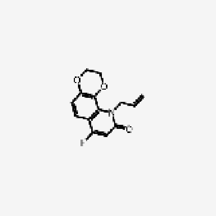 C=CCn1c(=O)cc(F)c2ccc3c(c21)OCCO3